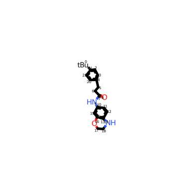 CC(C)(C)c1ccc(CCC(=O)Nc2ccc3c(c2)OCCN3)cc1